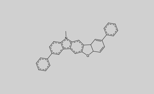 Cn1c2ccc(-c3ccccc3)cc2c2cc3c(cc21)C1C=C(c2ccccc2)C=CC1O3